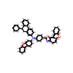 c1ccc(C2Cc3cc(N(c4ccc(-c5nc6ccc7oc8ccccc8c7c6o5)cc4)c4ccc5c(c4)oc4ccccc45)ccc3-c3ccccc32)cc1